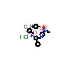 C=CCN(C(=O)OCc1ccc([N+](=O)[O-])cc1)C1CCN(CC2CC(N(C)C(=O)c3ccccc3)CC2c2ccccc2)CC1.Cl